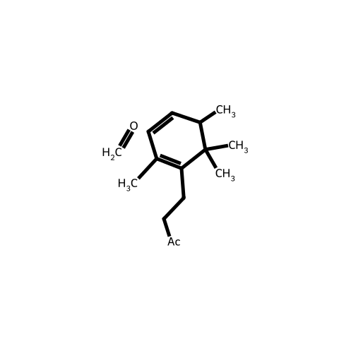 C=O.CC(=O)CCC1=C(C)C=CC(C)C1(C)C